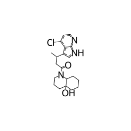 CC(CC(=O)N1CCCC2(O)CCCCC12)c1c[nH]c2nccc(Cl)c12